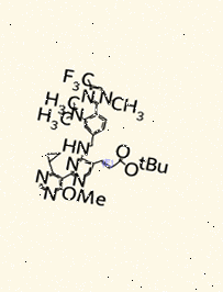 COc1ncnc(C2CC2)c1-c1ncc(/C=C/C(=O)OC(C)(C)C)c(NCc2ccc(-c3nc(C(F)(F)F)cn3C)c(N(C)C)c2)n1